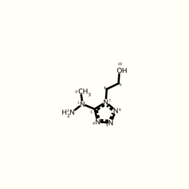 CN(N)c1nnnn1CCO